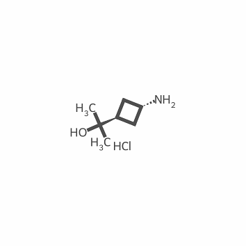 CC(C)(O)[C@H]1C[C@H](N)C1.Cl